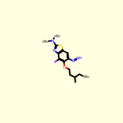 CCCCN(CCCC)c1nc2c(I)c(OCCC(C)CC(C)(C)C)c(N=N)cc2s1